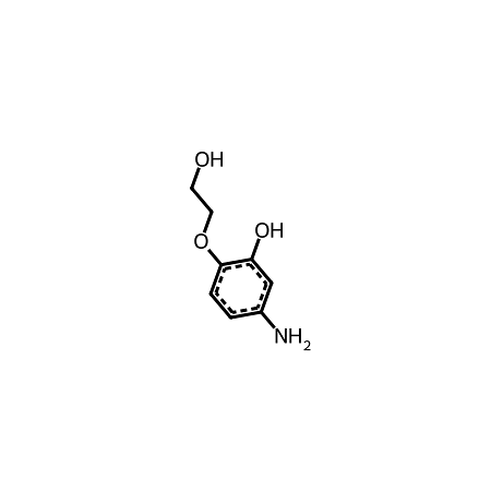 Nc1ccc(OCCO)c(O)c1